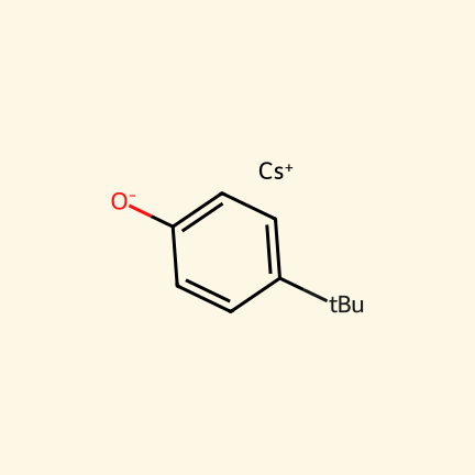 CC(C)(C)c1ccc([O-])cc1.[Cs+]